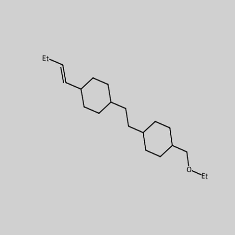 CCC=CC1CCC(CCC2CCC(COCC)CC2)CC1